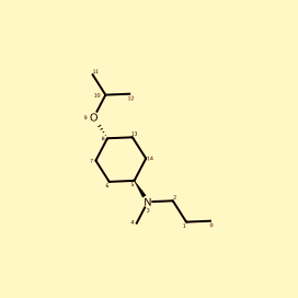 CCCN(C)[C@H]1CC[C@H](OC(C)C)CC1